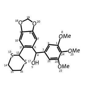 COc1cc(C(O)c2cc3c(cc2C2SCCCS2)OCO3)cc(OC)c1OC